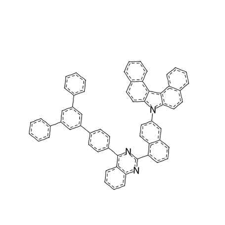 c1ccc(-c2cc(-c3ccccc3)cc(-c3ccc(-c4nc(-c5cccc6cc(-n7c8ccc9ccccc9c8c8c9ccccc9ccc87)ccc56)nc5ccccc45)cc3)c2)cc1